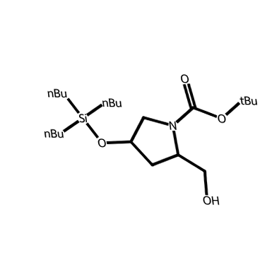 CCCC[Si](CCCC)(CCCC)OC1CC(CO)N(C(=O)OC(C)(C)C)C1